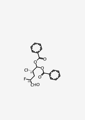 O=C[C@@H](F)C[C@H](Cl)C(OC(=O)c1ccccc1)OC(=O)c1ccccc1